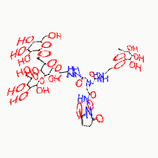 C[C@@H]1O[C@@H](OCCNNC(=O)CN(CC(=O)NNCCO[C@H]2O[C@H](CO[C@H]3O[C@H](CO)[C@@H](O)[C@H](O)[C@@H]3O)[C@@H](O)[C@H](O[C@H]3O[C@H](CO)[C@@H](O)[C@H](O)[C@@H]3O)[C@@H]2O)CC(=O)NON2C(=O)CCC2=O)[C@@H](O)[C@H](O)[C@@H]1O